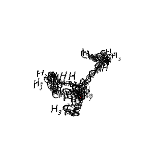 Cc1ncsc1-c1ccc(CNC(=O)[C@@H]2C[C@@H](O)CN2C(=O)[C@@H](NC(=O)CN(CCOCCOCCNC(=O)CC2N=C(c3ccc(Cl)cc3)c3c(sc(C)c3C)-n3c(C)nnc32)C(=O)CCC(=O)NCCCNC(=O)CC2N=C(c3ccc(Cl)cc3)c3c(sc(C)c3C)-n3c(C)nnc32)C(C)(C)C)cc1